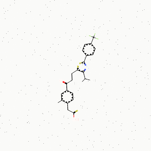 Cc1cc(C(=O)CCc2sc(-c3ccc(C(F)(F)F)cc3)nc2C(C)C)ccc1CC(O)=S